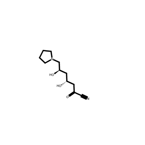 N#CC(=O)C[C@H](O)C[C@@H](O)CN1CCCC1